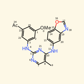 COc1cc(Nc2ncc(C)c(Nc3ccc4ocnc4c3)n2)cc(C(C)=O)c1